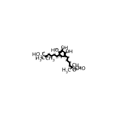 CC(C)(CCCCc1cc(CCCCC(C)(C)C(=O)O)c(O)c(O)c1O)OC=O